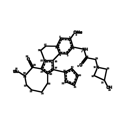 COc1cc2c(cc1NC(=O)CN1CC(O)C1)-c1c(-c3cccs3)c3c(n1CC2)C(=O)N(C(C)(C)C)CCCC3